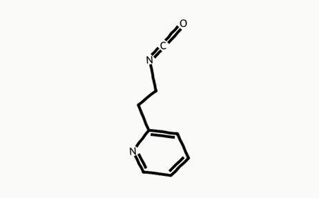 O=C=NCCc1ccccn1